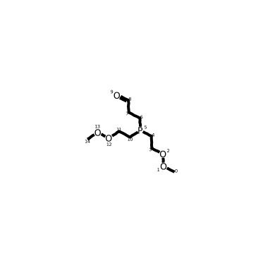 COOCCP(CCC=O)CCOOC